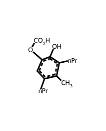 CCCc1cc(OC(=O)O)c(O)c(CCC)c1C